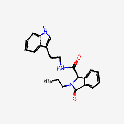 CC(C)(C)CCN1C(=O)c2ccccc2C1C(=O)NCCc1c[nH]c2ccccc12